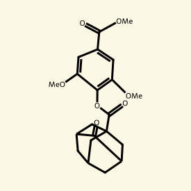 COC(=O)c1cc(OC)c(OC(=O)C23CC4CC(C2)C(=O)C(C4)C3)c(OC)c1